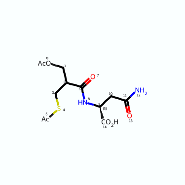 CC(=O)OCC(CSC(C)=O)C(=O)N[C@@H](CC(N)=O)C(=O)O